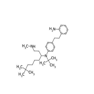 CNCCC(CCCCC(C)(C)C)N(c1ccc(CCc2ccccc2N)cc1)C(C)(C)C